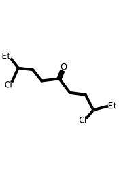 CCC(Cl)CCC(=O)CCC(Cl)CC